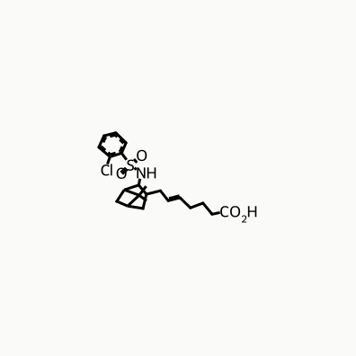 CC1(C)C2CC(CC=CCCCC(=O)O)C(NS(=O)(=O)c3ccccc3Cl)C1C2